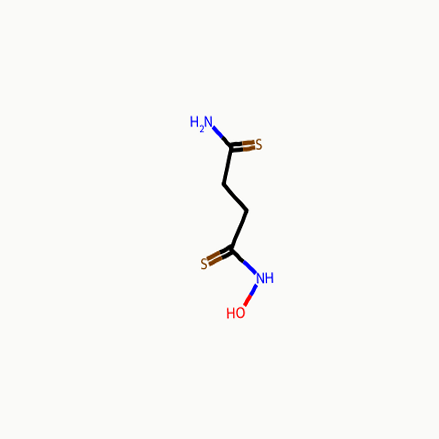 NC(=S)CCC(=S)NO